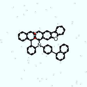 c1ccc(N(c2ccc(-c3cccc4ccccc34)cc2)c2cncc3cc4c(cc23)oc2ccccc24)c(-c2cccc3ccccc23)c1